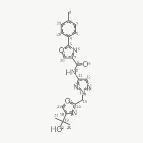 Cc1ccc(-c2nc(C(=O)Nc3cnn(Cc4nc(C(C)(C)O)co4)n3)co2)cc1